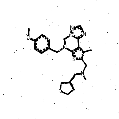 COc1ccc(CN2Cn3ncnc3-c3c2sc(CN(C)CC2CCOC2)c3C)cc1